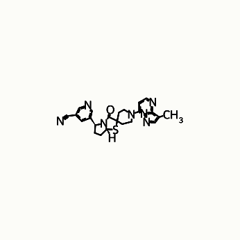 Cc1cnn2c(N3CCC4(CC3)S[C@@H]3CC[C@@H](c5cncc(C#N)c5)N3C4=O)ccnc12